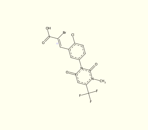 Cn1c(C(F)(F)F)cc(=O)n(-c2ccc(Cl)c(/C=C(\Br)C(=O)O)c2)c1=O